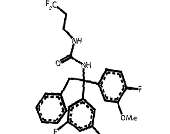 COc1cc(C(Cc2ccccc2)(NC(=O)NCCC(F)(F)F)c2cc(F)cc(C(F)(F)F)c2)ccc1F